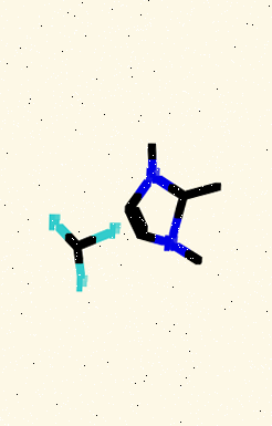 CC1N(C)C=CN1C.FC(F)F